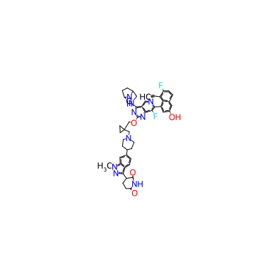 C#Cc1c(F)ccc2cc(O)cc(-c3ncc4c(N5CC6CCC(C5)N6)nc(OCC5(CN6CCC(c7ccc8c(C9CCC(=O)NC9=O)nn(C)c8c7)CC6)CC5)nc4c3F)c12